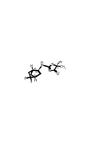 CC(C)[C@]1(C)SC(N[C@H]2C[C@@H]3C[C@@H]2CC3(F)F)=NC1=O